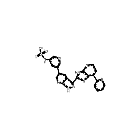 CS(=O)(=O)Nc1cncc(-c2cnc3[nH]nc(-c4nc5c(-c6ccccn6)ccnc5[nH]4)c3c2)c1